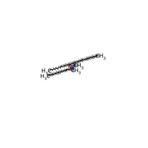 CCCCCC=CCC=CCCCCCCCCC(CCCCCCCCC=CCC=CCCCCC)N(C)CCN(C)C(=O)CCCCCCCCCCCCCCCCC